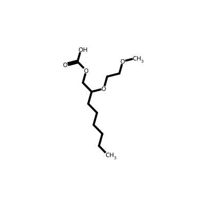 CCCCCCC(COC(=O)O)OCCOC